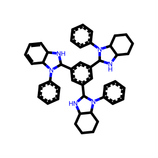 C1=CC2NC(c3cc(C4NC5CCCCC5N4c4ccccc4)cc(C4NC5CCCCC5N4c4ccccc4)c3)N(c3ccccc3)C2C=C1